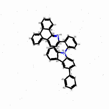 c1ccc(-c2ccc3c(c2)c2ccccc2n3-c2ccccc2-c2ccc3c4ccccc4c4ccccc4c3n2)cc1